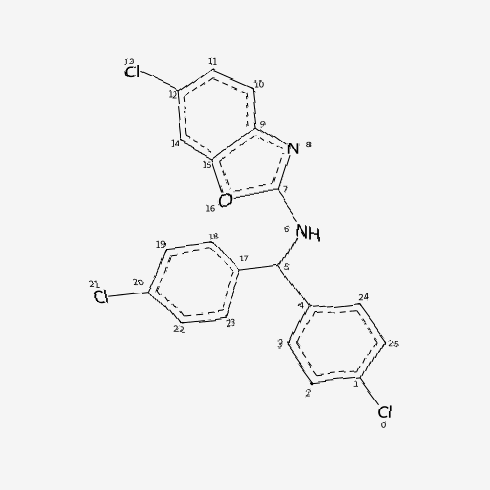 Clc1ccc(C(Nc2nc3ccc(Cl)cc3o2)c2ccc(Cl)cc2)cc1